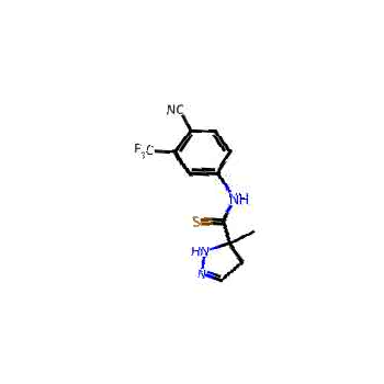 CC1(C(=S)Nc2ccc(C#N)c(C(F)(F)F)c2)CC=NN1